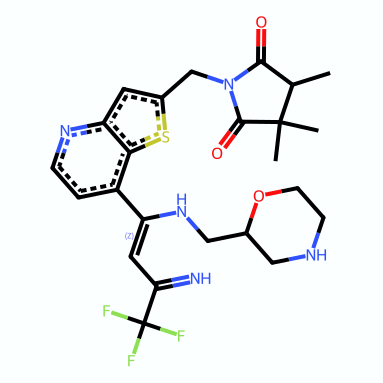 CC1C(=O)N(Cc2cc3nccc(/C(=C/C(=N)C(F)(F)F)NCC4CNCCO4)c3s2)C(=O)C1(C)C